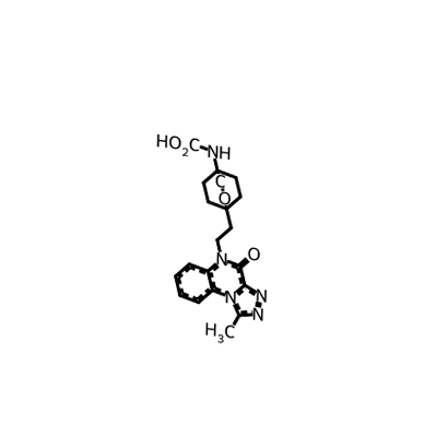 Cc1nnc2c(=O)n(CCC34CCC(NC(=O)O)(CC3)CO4)c3ccccc3n12